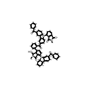 CN1C(=O)c2cccc(-n3c4ccc(C(=O)c5ccccc5)cc4c4cc(C(=O)c5ccccc5-c5ccc(-n6c7ccccc7c7ccc(C(=O)c8ccccc8)cc76)c6c5C(O)N(C)C6=O)ccc43)c2C1=O